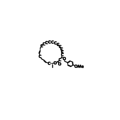 COc1ccc(CO[C@@H]2CCCCCCCCCCCC/C=C/CC/C=C/C[C@@H](I)OC(=O)C2)cc1